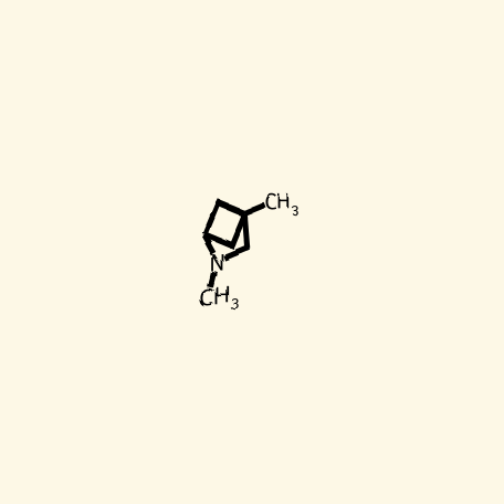 CN1CC2(C)CC1C2